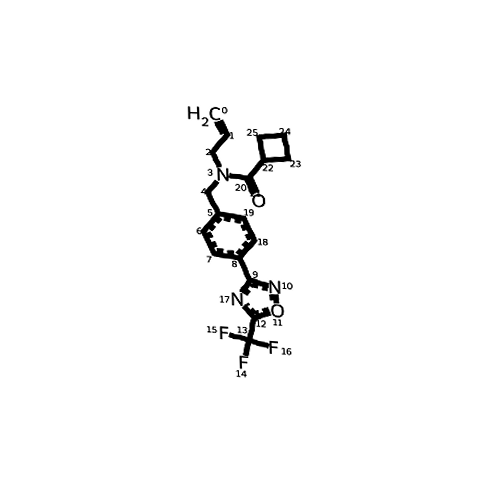 C=CCN(Cc1ccc(-c2noc(C(F)(F)F)n2)cc1)C(=O)C1CCC1